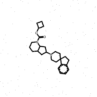 O=C(OC1CCC1)N1CCCC2CC(N3CCC4(CCc5ccccc54)CC3)CC21